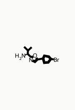 CC(C)[C@H](N)c1ncc(-c2ccc(Br)cc2)o1